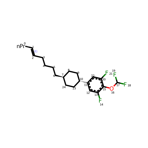 CCC/C=C/CCCC[C@H]1CC[C@H](c2cc(F)c(OC(F)F)c(F)c2)CC1